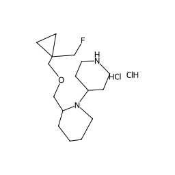 Cl.Cl.FCC1(COCC2CCCCN2C2CCNCC2)CC1